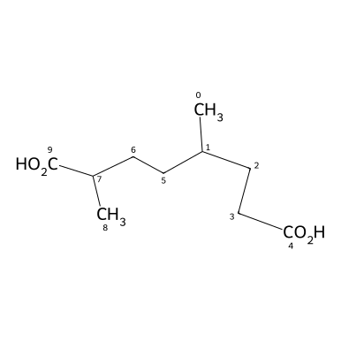 CC(CCC(=O)O)CCC(C)C(=O)O